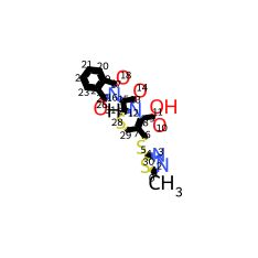 Cc1nnc(SCC2=C(C(=O)O)N3C(=O)C(N4C(=O)c5ccccc5C4=O)[C@@H]3SC2)s1